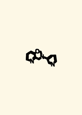 c1cncc(N2COc3cccnc3C2)c1